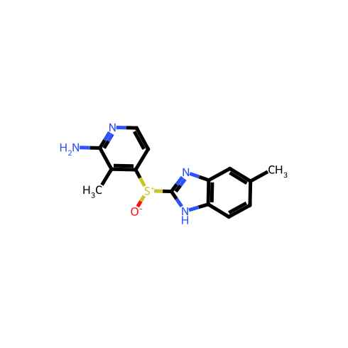 Cc1ccc2[nH]c([S+]([O-])c3ccnc(N)c3C)nc2c1